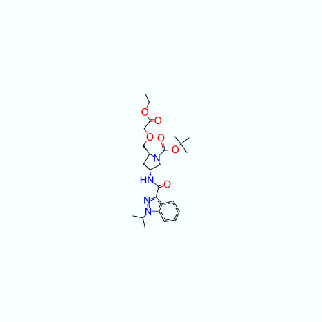 CCOC(=O)COC[C@@H]1C[C@H](NC(=O)c2nn(C(C)C)c3ccccc23)CN1C(=O)OC(C)(C)C